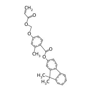 C=CC(=O)OCOc1ccc(C(=O)Oc2ccc3c(c2)C(C)(C)c2ccccc2-3)c(C)c1